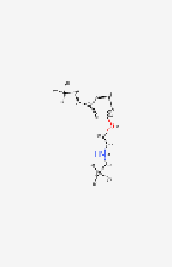 CC(C)(C)/C=C/c1cccc(OCCNCC(C)(C)C)c1